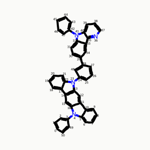 c1ccc(-n2c3ccccc3c3cc4c(cc32)c2ccccc2n4-c2cccc(-c3ccc4c(c3)c3ncccc3n4-c3ccccc3)c2)cc1